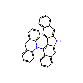 c1ccc2c(c1)Cc1ccccc1N2c1c2ccccc2cc2[nH]c3cc4ccccc4cc3c12